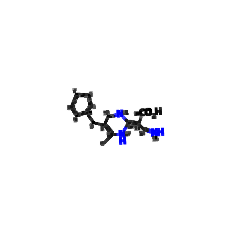 CC1=C(Cc2ccccc2)C=N/C(=C(/C=N)C(=O)O)N1